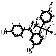 Nc1ccc(C(=O)c2cc(O)ccc2C(c2ccc(O)cc2)(C(F)(F)F)C(F)(F)F)cc1